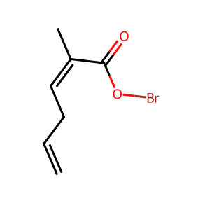 C=CCC=C(C)C(=O)OBr